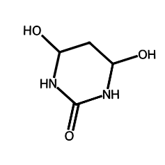 O=C1NC(O)CC(O)N1